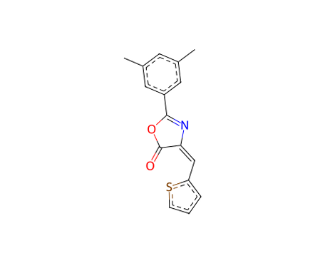 Cc1cc(C)cc(C2=NC(=Cc3cccs3)C(=O)O2)c1